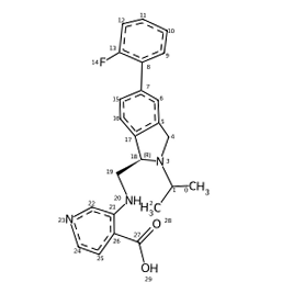 CC(C)N1Cc2cc(-c3ccccc3F)ccc2[C@@H]1CNc1cnccc1C(=O)O